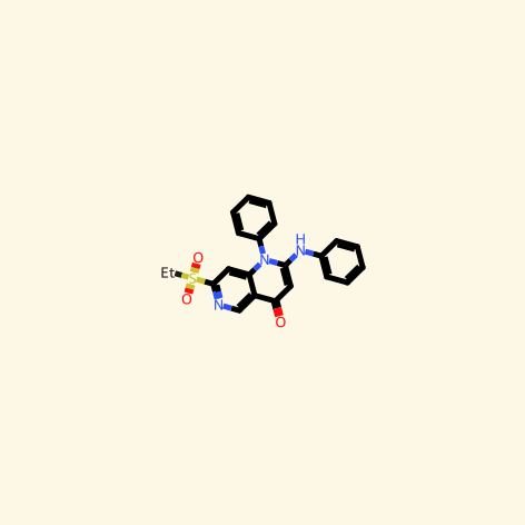 CCS(=O)(=O)c1cc2c(cn1)c(=O)cc(Nc1ccccc1)n2-c1ccccc1